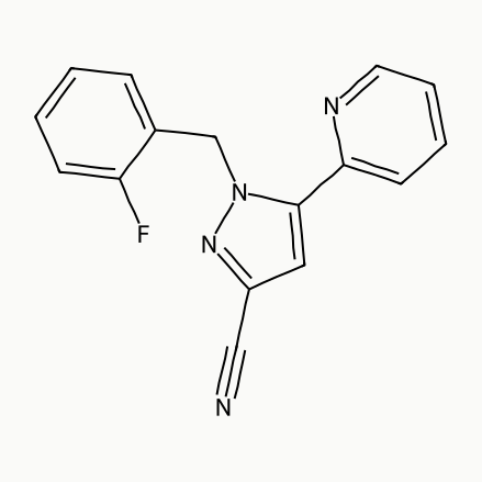 N#Cc1cc(-c2ccccn2)n(Cc2ccccc2F)n1